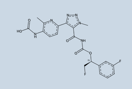 Cc1nc(-c2nnn(C)c2C(=O)NC(=O)O[C@H](CF)c2cccc(F)c2)ccc1NC(=O)O